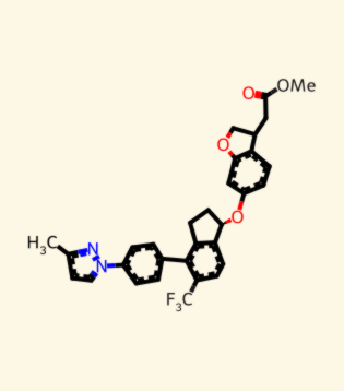 COC(=O)CC1COc2cc(O[C@@H]3CCc4c3ccc(C(F)(F)F)c4-c3ccc(-n4ccc(C)n4)cc3)ccc21